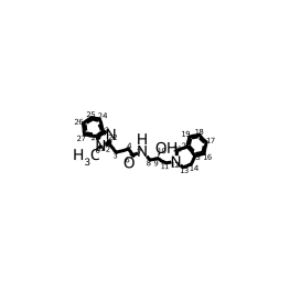 Cn1c(CCC(=O)NC[C@H](O)CN2CCc3ccccc3C2)nc2ccccc21